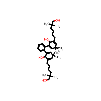 CC1(C)C=C(CCCCC(C)(C)CO)C(O)C(c2ccccc2C2=CC(C)(C)C=C(CCCCC(C)(C)CO)C2O)=C1